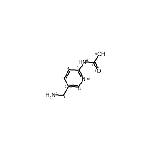 NCc1ccc(NC(=O)O)nc1